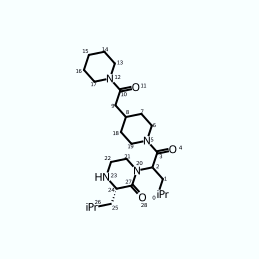 CC(C)CC(C(=O)N1CCC(CC(=O)N2CCCCC2)CC1)N1CCN[C@@H](CC(C)C)C1=O